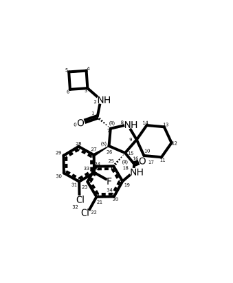 O=C(NC1CCC1)[C@@H]1NC2(CCCCC2)[C@@]2(C(=O)Nc3cc(Cl)ccc32)[C@H]1c1cccc(Cl)c1F